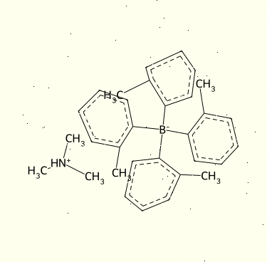 C[NH+](C)C.Cc1ccccc1[B-](c1ccccc1C)(c1ccccc1C)c1ccccc1C